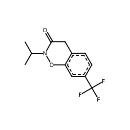 CC(C)N1Oc2cc(C(F)(F)F)ccc2CC1=O